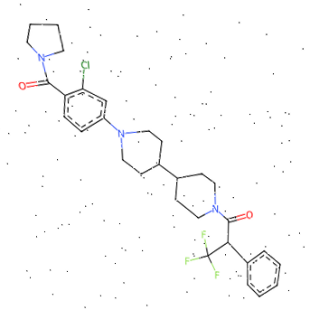 O=C(c1ccc(N2CCC(C3CCN(C(=O)C(c4ccccc4)C(F)(F)F)CC3)CC2)cc1Cl)N1CCCC1